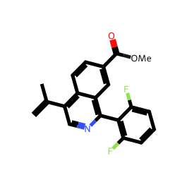 C=C(C)c1cnc(-c2c(F)cccc2F)c2cc(C(=O)OC)ccc12